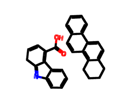 O=C(O)C1=C2C(=Nc3ccccc32)CC=C1.c1ccc2c(c1)ccc1c3c(ccc12)CCCC3